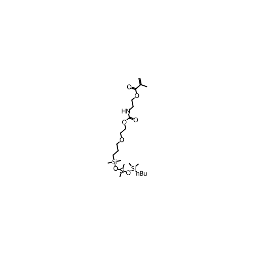 C=C(C)C(=O)OCCNC(=O)OCCOCCC[Si](C)(C)O[Si](C)(C)O[Si](C)(C)CCCC